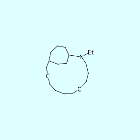 CCN1CCCCCCCCCCC2CCCC1CC2